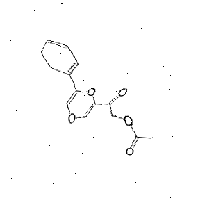 CC(=O)OCC(=O)C1=COC=C(C2=CC=CCC2)O1